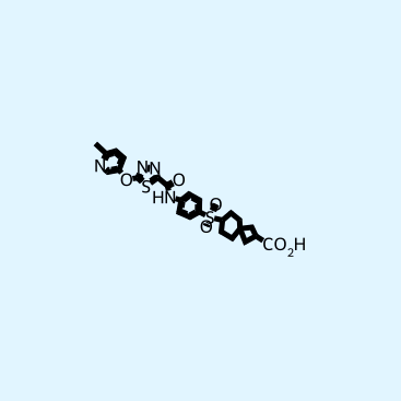 Cc1ccc(Oc2nnc(C(=O)Nc3ccc(S(=O)(=O)C4CCC5(CC4)CC(C(=O)O)C5)cc3)s2)cn1